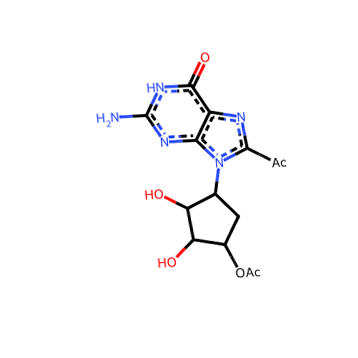 CC(=O)OC1CC(n2c(C(C)=O)nc3c(=O)[nH]c(N)nc32)C(O)C1O